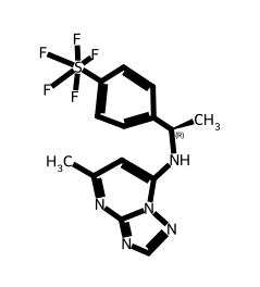 Cc1cc(N[C@H](C)c2ccc(S(F)(F)(F)(F)F)cc2)n2ncnc2n1